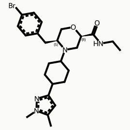 CCNC(=O)[C@H]1CN(C2CCC(c3cc(C)n(C)n3)CC2)[C@@H](Cc2ccc(Br)cc2)CO1